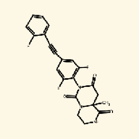 CC12CC(=O)N(c3c(F)cc(C#Cc4ccccc4F)cc3F)C(=O)N1CCNC2=O